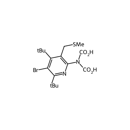 CSCc1c(N(C(=O)O)C(=O)O)nc(C(C)(C)C)c(Br)c1C(C)(C)C